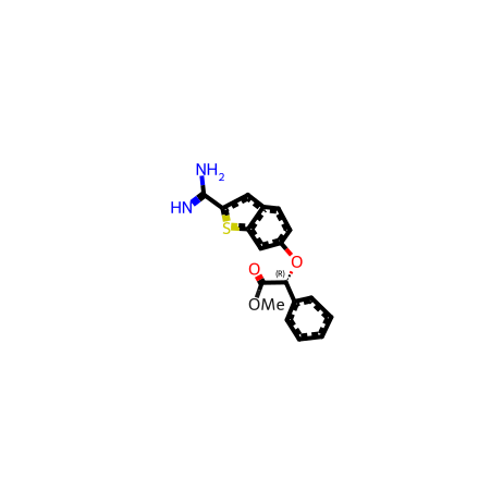 COC(=O)[C@H](Oc1ccc2cc(C(=N)N)sc2c1)c1ccccc1